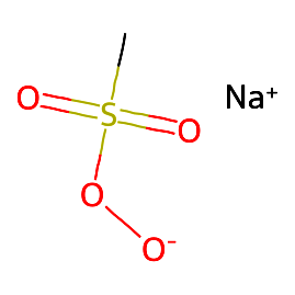 CS(=O)(=O)O[O-].[Na+]